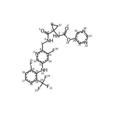 O=C(NC1(C(=O)NCc2ncc(Nc3c(F)cccc3C(F)(F)F)cc2F)CC1)Oc1cncnc1